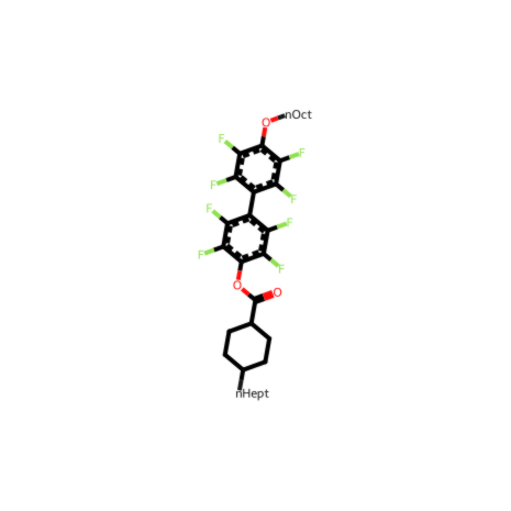 CCCCCCCCOc1c(F)c(F)c(-c2c(F)c(F)c(OC(=O)C3CCC(CCCCCCC)CC3)c(F)c2F)c(F)c1F